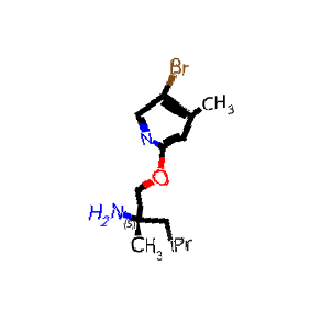 Cc1cc(OC[C@@](C)(N)CC(C)C)ncc1Br